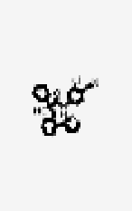 N#Cc1ccc(NC(=O)C(O)(Cc2ccccc2-c2cccnc2)c2ccccc2)cc1Cl